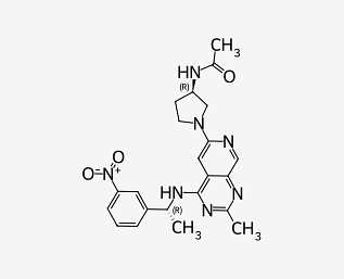 CC(=O)N[C@@H]1CCN(c2cc3c(N[C@H](C)c4cccc([N+](=O)[O-])c4)nc(C)nc3cn2)C1